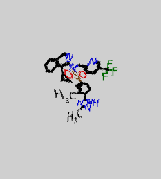 Cc1n[nH]c(-c2ccc(S(=O)(=O)N(Cc3ccc(C(F)(F)F)cn3)c3ncc4ccccc4c3C3CC3)cc2C)n1